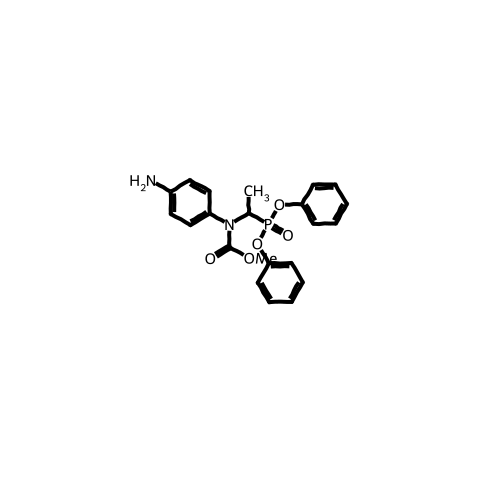 COC(=O)N(c1ccc(N)cc1)C(C)P(=O)(Oc1ccccc1)Oc1ccccc1